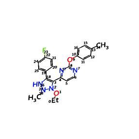 CCON1C(c2ccnc(Oc3ccc(C)cc3)n2)=C(c2ccc(F)cc2)NN1C